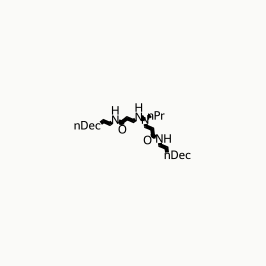 CCCCCCCCCCCCNC(=O)CCNN(CCC)CCC(=O)NCCCCCCCCCCCC